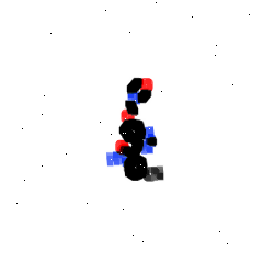 N#Cc1ccc2c(c1)C(c1ncnc3cc(OCCN4CCOCC4)ccc13)C(=O)N2